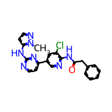 Cn1nccc1Nc1nccc(-c2cnc(NC(=O)Cc3ccccc3)c(Cl)c2)n1